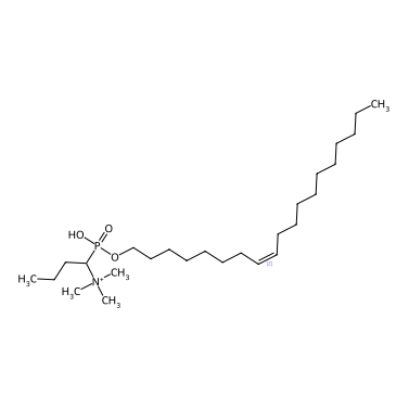 CCCCCCCCCC/C=C\CCCCCCCOP(=O)(O)C(CCC)[N+](C)(C)C